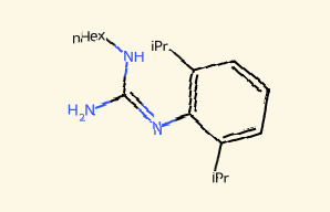 CCCCCCNC(N)=Nc1c(C(C)C)cccc1C(C)C